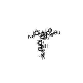 CCC(C)C(N)C(=O)O[C@@H](C)n1cc(-c2cccc(C#N)c2)c2cc(-c3cccc(NC(=O)/C=C/CN(C)C)c3)cnc21